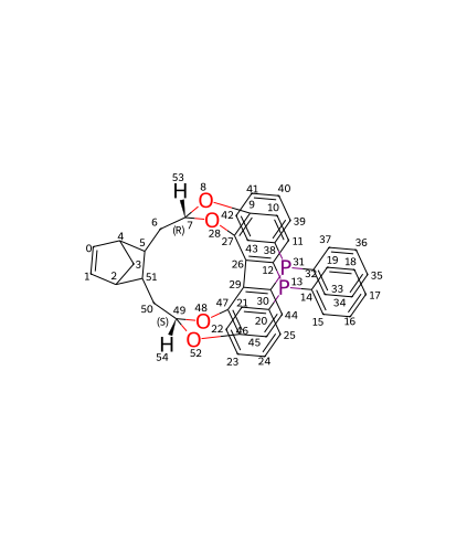 C1=CC2CC1C1C[C@@H]3Oc4ccc(P(c5ccccc5)c5ccccc5)c(c4O3)-c3c(P(c4ccccc4)c4ccccc4)ccc4c3O[C@@H](CC21)O4